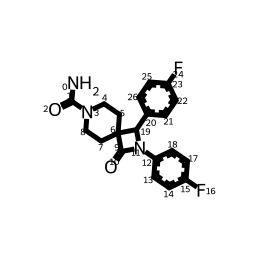 NC(=O)N1CCC2(CC1)C(=O)N(c1ccc(F)cc1)C2c1ccc(F)cc1